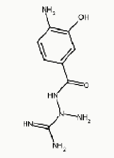 N=C(N)N(N)NC(=O)c1ccc(N)c(O)c1